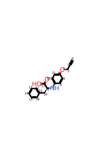 C#CCOc1ccc(N[C@@H](Cc2ccccc2)C(=O)O)cc1